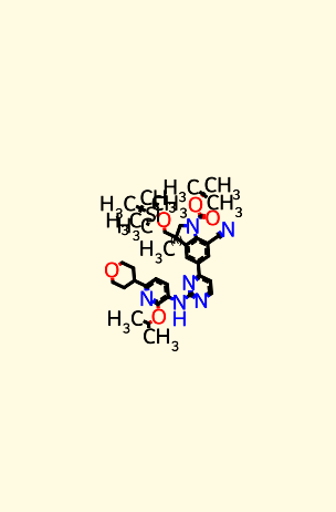 CC(C)Oc1nc(C2CCOCC2)ccc1Nc1nccc(-c2cc(C#N)c3c(c2)[C@@](C)(CO[Si](C)(C)C(C)(C)C)CN3C(=O)OC(C)(C)C)n1